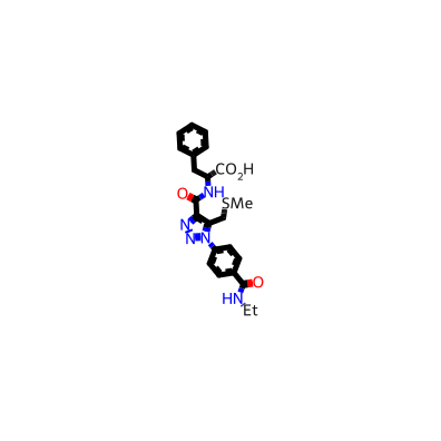 CCNC(=O)c1ccc(-n2nnc(C(=O)NC(Cc3ccccc3)C(=O)O)c2CSC)cc1